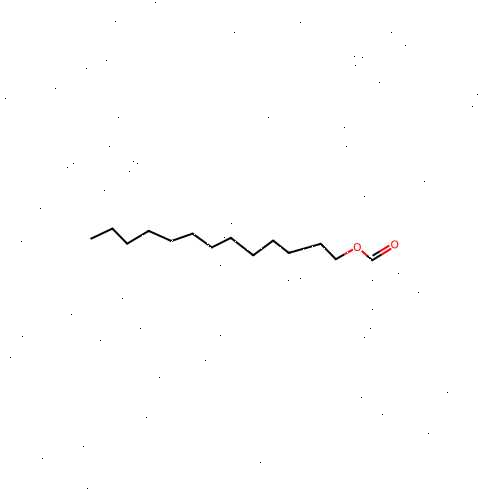 CCCCCCCCCCCCCOC=O